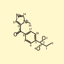 CCS(=O)(=O)c1ccc(C(=O)c2cncn2C)cc1